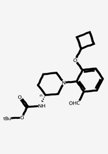 CC(C)(C)OC(=O)N[C@@H]1CCCN(c2c(C=O)cccc2OC2CCC2)C1